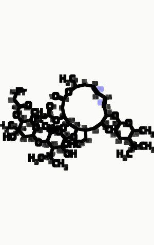 CCC(=O)OC1CC(=O)OC(C)C/C=C/C=C/C(OC2CCC(N(C)C)C(C)O2)C(C)CC(CC=O)C(OC2OC(C)C(OC3CC(C)(O)C(OC(=O)CC(C)C)C(C)O3)C(N(C)C)C2O)C1OC